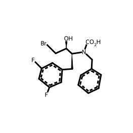 O=C(O)N(Cc1ccccc1)[C@@H](Cc1cc(F)cc(F)c1)[C@H](O)CBr